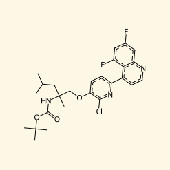 CC(C)CC(C)(COc1ccc(-c2ccnc3cc(F)cc(F)c23)nc1Cl)NC(=O)OC(C)(C)C